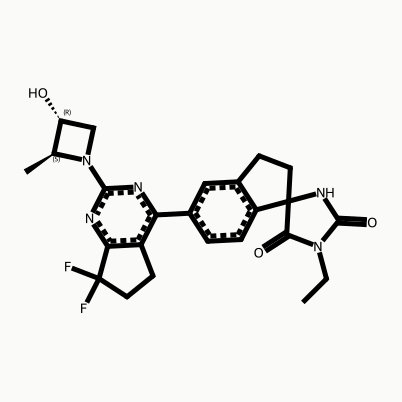 CCN1C(=O)NC2(CCc3cc(-c4nc(N5C[C@@H](O)[C@@H]5C)nc5c4CCC5(F)F)ccc32)C1=O